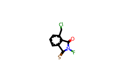 O=C1c2c(CCl)cccc2C(=S)N1F